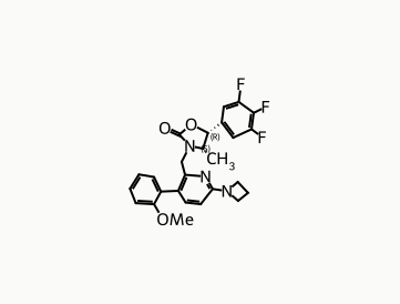 COc1ccccc1-c1ccc(N2CCC2)nc1CN1C(=O)O[C@H](c2cc(F)c(F)c(F)c2)[C@@H]1C